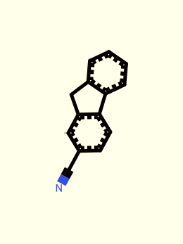 N#Cc1[c]c2c(cc1)-c1ccccc1C2